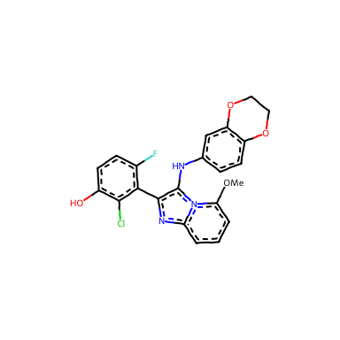 COc1cccc2nc(-c3c(F)ccc(O)c3Cl)c(Nc3ccc4c(c3)OCCO4)n12